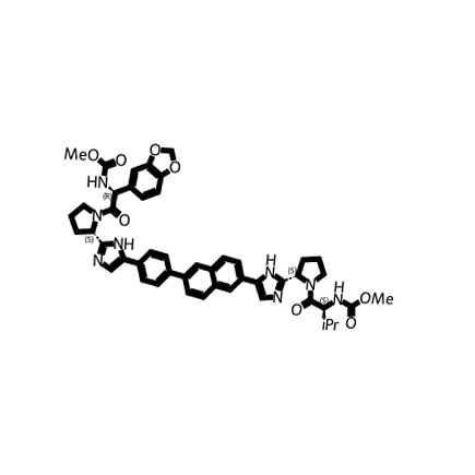 COC(=O)N[C@H](C(=O)N1CCC[C@H]1c1ncc(-c2ccc3cc(-c4ccc(-c5cnc([C@@H]6CCCN6C(=O)[C@H](NC(=O)OC)c6ccc7c(c6)OCO7)[nH]5)cc4)ccc3c2)[nH]1)C(C)C